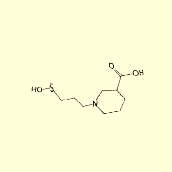 O=C(O)C1CCCN(CCCSO)C1